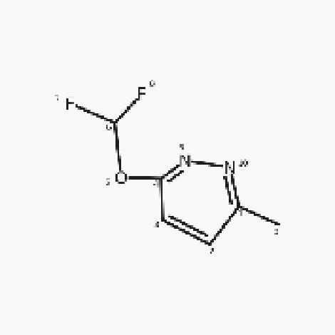 Cc1ccc(OC(F)F)nn1